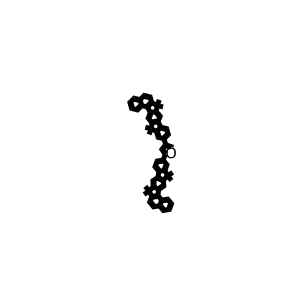 CC1(C)c2cc(-c3coc(-c4ccc5c(c4)C(C)(C)c4cc6c(cc4-5)C(C)(C)c4ccc5ccccc5c4-6)c3)ccc2-c2cc3c(cc21)-c1c(ccc2ccccc12)C3(C)C